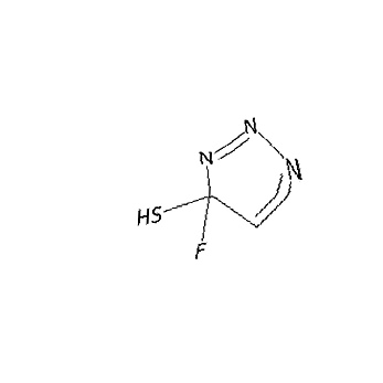 FC1(S)C=NN=N1